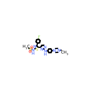 CCN1CCN(c2ccc(Nc3nccc(-c4sc(NS(=O)(=O)CC)nc4-c4ccc(F)cc4)n3)cc2)CC1